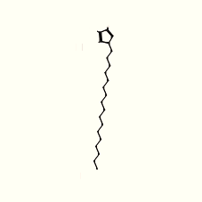 CCCCCCCCCCCCCCCCCCC1[C]=C(C)C(C)=C1C